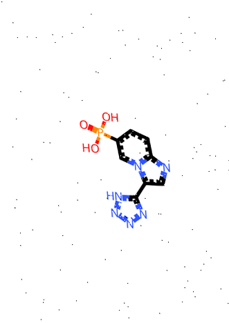 O=P(O)(O)c1ccc2ncc(-c3nnn[nH]3)n2c1